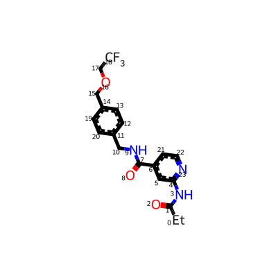 CCC(=O)Nc1cc(C(=O)NCc2ccc(COCC(F)(F)F)cc2)ccn1